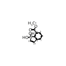 COC(=O)c1cccc2c1S(O)(O)C=C2